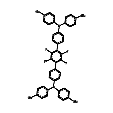 CC(C)(C)c1ccc(N(c2ccc(-c3c(F)c(F)c(-c4ccc(N(c5ccc(C(C)(C)C)cc5)c5ccc(C(C)(C)C)cc5)cc4)c(F)c3F)cc2)c2ccc(C(C)(C)C)cc2)cc1